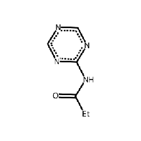 CCC(=O)Nc1ncncn1